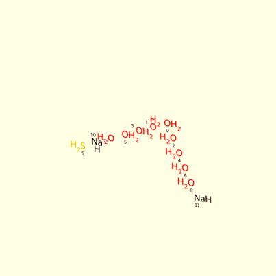 O.O.O.O.O.O.O.O.O.S.[NaH].[NaH]